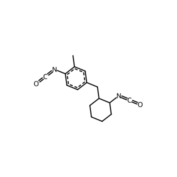 Cc1cc(CC2CCCCC2N=C=O)ccc1N=C=O